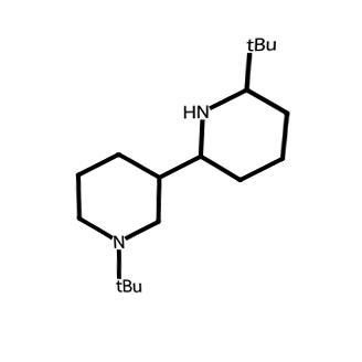 CC(C)(C)C1CCCC(C2CCCN(C(C)(C)C)C2)N1